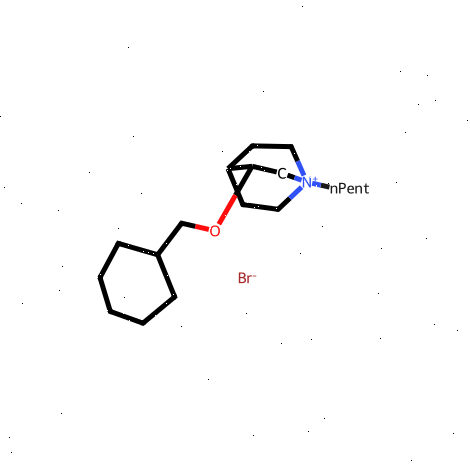 CCCCC[N+]12CCC(CC1)C(OCC1CCCCC1)C2.[Br-]